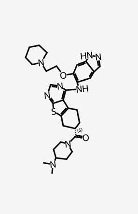 CN(C)C1CCN(C(=O)[C@H]2CCc3c(sc4ncnc(Nc5cc6cn[nH]c6cc5OCCN5CCCCC5)c34)C2)CC1